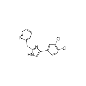 Clc1ccc(-c2c[nH]c(Cc3ccccn3)n2)cc1Cl